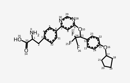 NC(Cc1ccc(-c2cc(OC(c3ccc(OC4CCCC4)cc3)C(F)(F)F)ncn2)cc1)C(=O)O